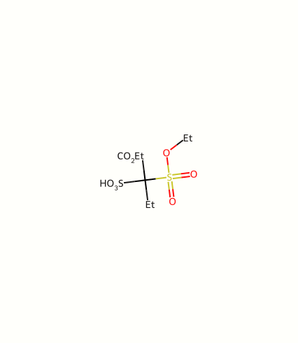 CCOC(=O)C(CC)(S(=O)(=O)O)S(=O)(=O)OCC